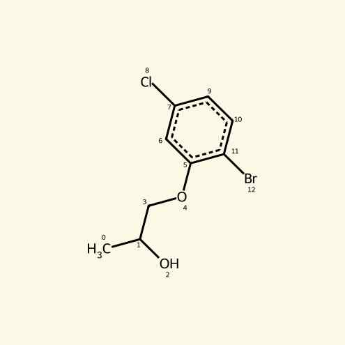 CC(O)COc1cc(Cl)ccc1Br